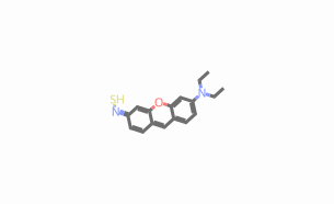 CCN(CC)c1ccc2cc3ccc(=NS)cc-3oc2c1